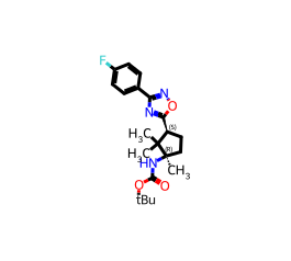 CC(C)(C)OC(=O)N[C@]1(C)CC[C@H](c2nc(-c3ccc(F)cc3)no2)C1(C)C